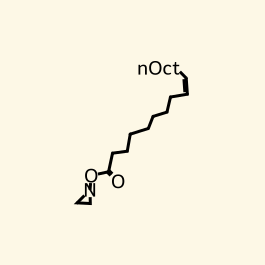 CCCCCCCC/C=C\CCCCCCCC(=O)ON1CC1